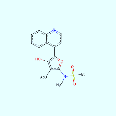 CCS(=O)(=O)N(C)c1oc(-c2ccnc3ccccc23)c(O)c1OC(C)=O